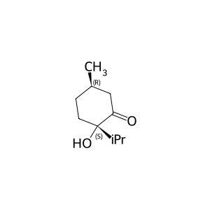 CC(C)[C@@]1(O)CC[C@@H](C)CC1=O